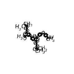 C=C(C)C(=O)OCCOC(=O)c1ccc(-c2ccc(C(=O)OCCOC(=O)C(=C)C)c(C(=O)Nc3ccc(Oc4ccc(NC)cc4)cc3)c2)cc1C(C)=O